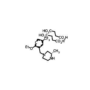 CCOc1ccc(C(F)(F)F)cc1CN1CCN[C@@H](C)C1.O=C(O)CCC(=O)O.O=C(O)CCC(=O)O